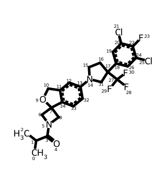 CC(C)C(=O)N1CC2(C1)OCc1cc(N3CCC(c4cc(Cl)c(F)c(Cl)c4)(C(F)(F)F)C3)ccc12